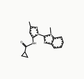 Cc1cc(NC(=O)C2CC2)n(-c2nc3ccccc3n2C)n1